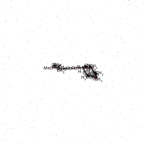 COc1cc(OC)c2c(=O)[nH]c(-c3cc(C)c(OCCOCCOCCOCCOCCOCCOCCC(=O)NCCCN(C)CCCNC(=O)CCNC(=O)c4nc(NC(=O)CCNC(=O)c5c(NC(=O)c6nc(NC(=O)CCNC(=O)c7cc(NC(=O)c8nccn8C)cn7C)cn6C)ccn5C)cn4C)c(C)c3)nc2c1